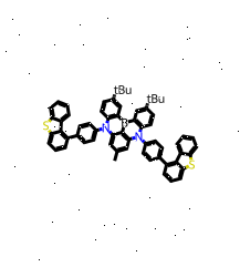 Cc1cc2c3c(c1)N(c1ccc(-c4cccc5sc6ccccc6c45)cc1)c1ccc(C(C)(C)C)cc1B3c1cc(C(C)(C)C)ccc1N2c1ccc(-c2cccc3sc4ccccc4c23)cc1